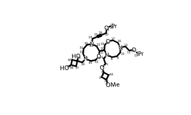 COC1CC(OCCN2CCCN(CCOC(C)C)CCOCC2C2CN(CC#CCOC(C)C)CCCN(CC3(O)CC(O)C3)CCO2)C1